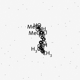 COC(=O)[C@H](CO)NCc1cc(Cl)c(OC2CCc3c(-c4cccc(NC(=O)c5nc6c(n5C)CCN(C)C6)c4Cl)cccc32)c(F)c1OC